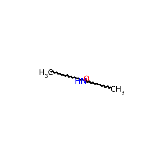 CCCCCCCCCCCCCCCCCCNC(=O)CCCCCCCCCCCCCCC